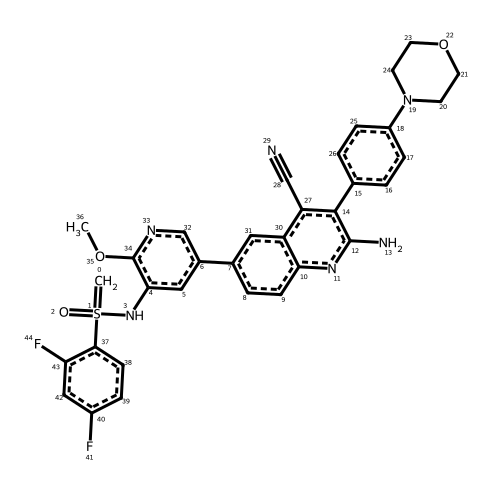 C=S(=O)(Nc1cc(-c2ccc3nc(N)c(-c4ccc(N5CCOCC5)cc4)c(C#N)c3c2)cnc1OC)c1ccc(F)cc1F